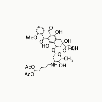 COc1cccc2c1C(=O)c1c(O)c3c(c(O)c1C2=O)C[C@@](O)(C(=O)CO)C[C@@H]3OC1CC(NCCCCC(OC(C)=O)OC(C)=O)C(O)C(C)O1.Cl